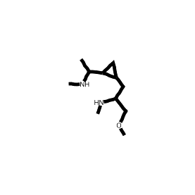 CNC(COC)CC1CC1C(C)NC